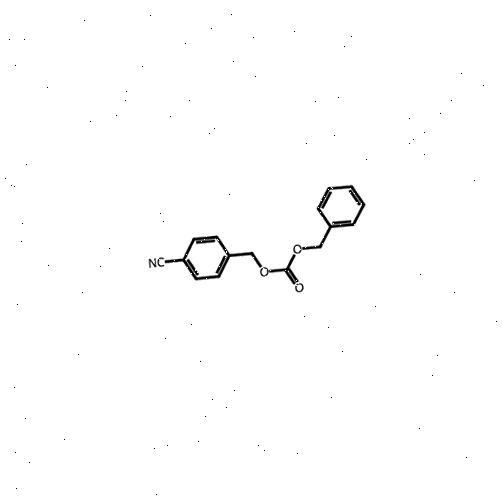 N#Cc1ccc(COC(=O)OCc2ccccc2)cc1